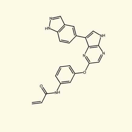 C=CC(=O)Nc1cccc(Oc2cnc3[nH]cc(-c4ccc5[nH]ncc5c4)c3n2)c1